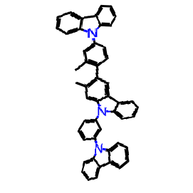 Cc1cc(-n2c3ccccc3c3ccccc32)ccc1-c1cc2c3ccccc3n(-c3cccc(-n4c5ccccc5c5ccccc54)c3)c2cc1C